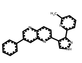 Cc1cccc(-c2n[nH]cc2-c2ccc3ncc(-c4ccccc4)cc3n2)n1